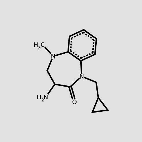 CN1CC(N)C(=O)N(CC2CC2)c2ccccc21